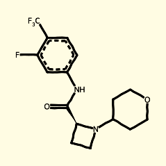 O=C(Nc1ccc(C(F)(F)F)c(F)c1)[C@@H]1CCN1C1CCOCC1